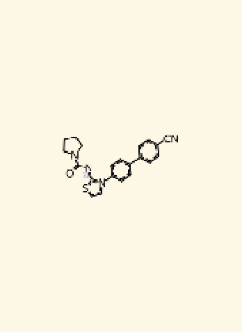 N#Cc1ccc(-c2ccc(-n3ccs/c3=N\C(=O)N3CCCC3)cc2)cc1